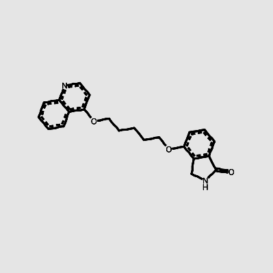 O=C1NCc2c(OCCCCCOc3ccnc4ccccc34)cccc21